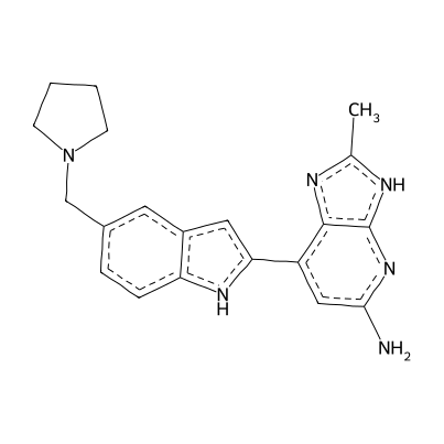 Cc1nc2c(-c3cc4cc(CN5CCCC5)ccc4[nH]3)cc(N)nc2[nH]1